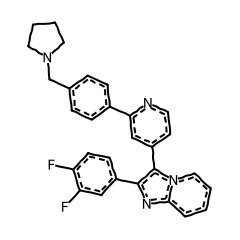 Fc1ccc(-c2nc3ccccn3c2-c2ccnc(-c3ccc(CN4CCCC4)cc3)c2)cc1F